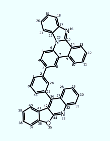 c1cc(-c2ccc3c(c2)c2ccccc2c2nc4ccccc4n32)cc(-c2c3ccccc3nc3oc4ccccc4c23)c1